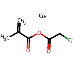 C=C(C)C(=O)OC(=O)CCl.[Cu]